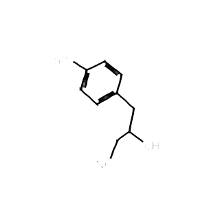 CCCc1ccc(CC(C)CC#N)cc1